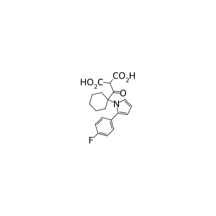 O=C(O)C(C(=O)O)C(=O)C1(n2cccc2-c2ccc(F)cc2)CCCCC1